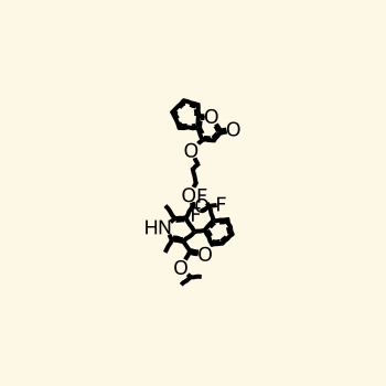 CC1=C(C(=O)OCCCOc2cc(=O)oc3ccccc23)C(c2ccccc2C(F)(F)F)C(C(=O)OC(C)C)=C(C)N1